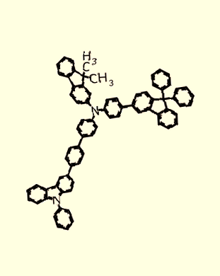 CC1(C)c2ccccc2-c2ccc(N(c3ccc(-c4ccc(-c5ccc6c(c5)c5ccccc5n6-c5ccccc5)cc4)cc3)c3ccc(-c4ccc5c(c4)-c4ccccc4C5(c4ccccc4)c4ccccc4)cc3)cc21